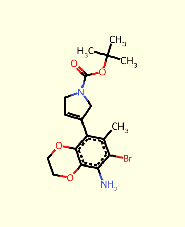 Cc1c(Br)c(N)c2c(c1C1=CCN(C(=O)OC(C)(C)C)C1)OCCO2